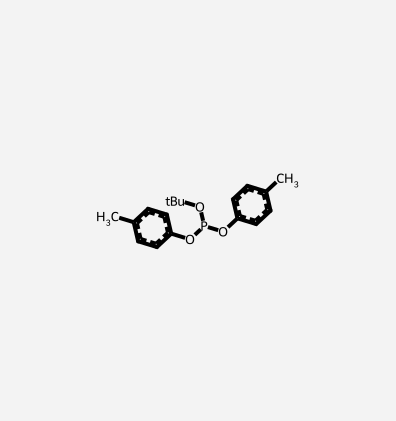 Cc1ccc(OP(Oc2ccc(C)cc2)OC(C)(C)C)cc1